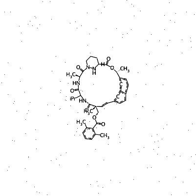 Cc1cccc(C)c1C(=O)OC[C@@]1(C)/C=C/c2ccc3ccc(cc3c2)[C@@H](C)OC(=O)[C@@H]2CCCN(N2)C(=O)[C@H](C)NC(=O)C(C(C)C)NC1=O